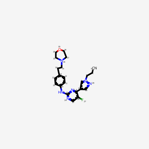 N#CCCn1cc(-c2nc(Nc3ccc(CCN4CCOCC4)cc3)ncc2F)cn1